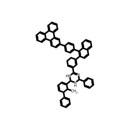 CC1C(C2NC(C3=CCCC(c4ccc5ccccc5c4-c4ccc(-c5ccc6c7ccccc7c7ccccc7c6c5)cc4)=C3)=NC(c3ccccc3)N2)=CC=CC1c1ccccc1